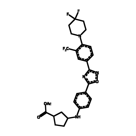 CC(=O)OC(=O)C1CCC(Nc2ccc(-c3nc(-c4ccc(N5CCC(F)(F)CC5)c(C(F)(F)F)c4)no3)cc2)C1